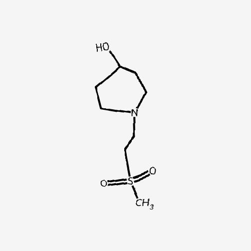 CS(=O)(=O)CCN1CCC(O)CC1